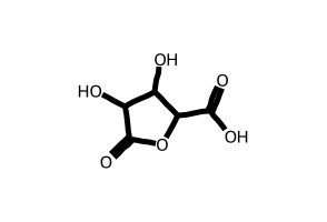 O=C1OC(C(=O)O)C(O)C1O